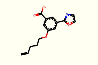 C=CCCCOc1cc(C(=O)O)cc(-c2ncco2)c1